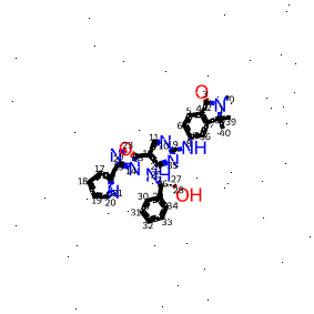 CN1C(=O)c2ccc(Nc3ncc(-c4nc(-c5ccccn5)no4)c(N[C@H](CO)c4ccccc4)n3)cc2C1(C)C